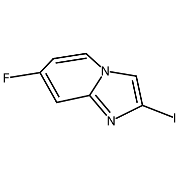 Fc1ccn2cc(I)nc2c1